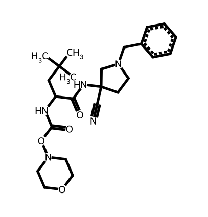 CC(C)(C)CC(NC(=O)ON1CCOCC1)C(=O)NC1(C#N)CCN(Cc2ccccc2)C1